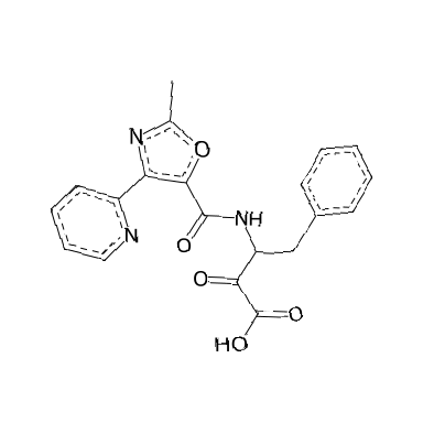 Cc1nc(-c2ccccn2)c(C(=O)NC(Cc2ccccc2)C(=O)C(=O)O)o1